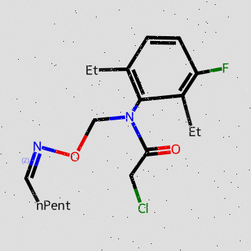 CCCCC/C=N\OCN(C(=O)CCl)c1c(CC)ccc(F)c1CC